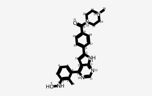 Cc1c(NO)cccc1-c1ncnc2[nH]c(-c3ccc(C(=O)N4CCN(C)CC4)cc3)cc12